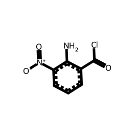 Nc1c(C(=O)Cl)cccc1[N+](=O)[O-]